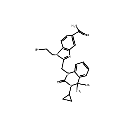 CC(C)CCn1c(CN2C(=O)N(C3CC3)C(C)(C)c3ccccc32)nc2cc(C(=N)N)ccc21